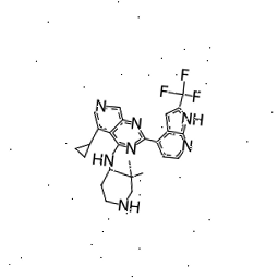 CC1(C)CNCCC1Nc1nc(-c2ccnc3[nH]c(C(F)(F)F)cc23)nc2cncc(C3CC3)c12